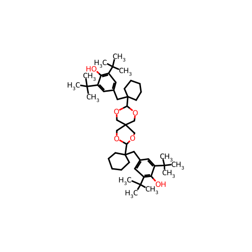 CC(C)(C)c1cc(CC2(C3OCC4(CO3)COC(C3(Cc5cc(C(C)(C)C)c(O)c(C(C)(C)C)c5)CCCCC3)OC4)CCCCC2)cc(C(C)(C)C)c1O